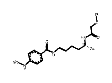 CCCNc1ccc(C(=O)NCCCC[C@H](NC(=O)COCC)C(C)=O)cc1